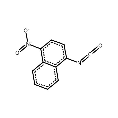 O=C=Nc1ccc([N+](=O)[O-])c2ccccc12